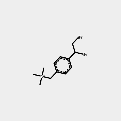 CC(C)CC(c1ccc(C[N+](C)(C)C)cc1)C(C)C